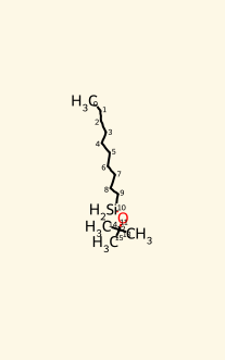 CCCCCCCCCC[SiH2]OC(C)(C)C